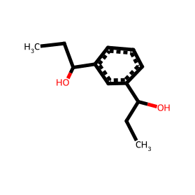 CCC(O)c1cccc(C(O)CC)c1